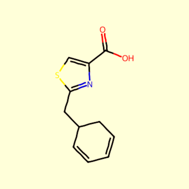 O=C(O)c1csc(CC2C=CC=CC2)n1